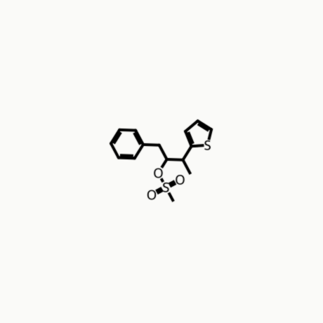 CC(c1cccs1)C(Cc1ccccc1)OS(C)(=O)=O